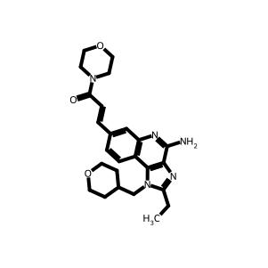 CCc1nc2c(N)nc3cc(C=CC(=O)N4CCOCC4)ccc3c2n1CC1CCOCC1